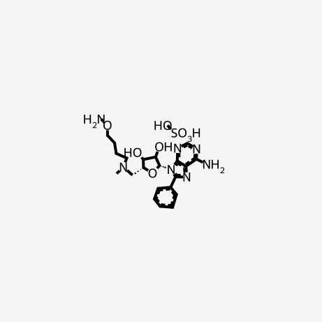 CN(CCCCON)C[C@H]1O[C@@H](n2c(-c3ccccc3)nc3c(N)ncnc32)C(O)C1O.O=S(=O)(O)O